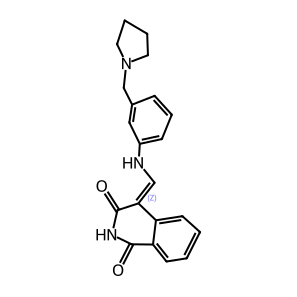 O=C1NC(=O)c2ccccc2/C1=C/Nc1cccc(CN2CCCC2)c1